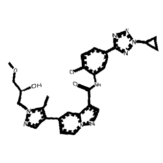 COC[C@@H](O)Cn1ncc(-c2ccn3ncc(C(=O)Nc4cc(-c5nnn(C6CC6)n5)ccc4Cl)c3c2)c1C